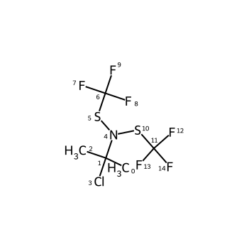 CC(C)(Cl)N(SC(F)(F)F)SC(F)(F)F